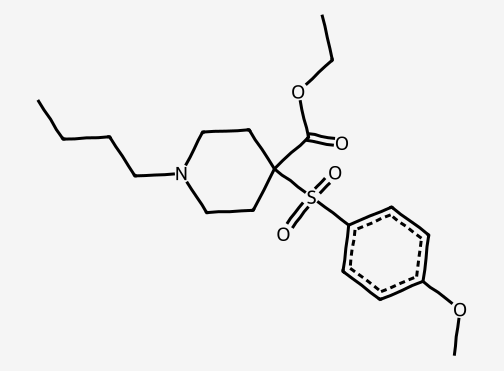 CCCCN1CCC(C(=O)OCC)(S(=O)(=O)c2ccc(OC)cc2)CC1